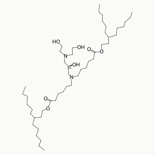 CCCCCCC(CCCCCC)CCOC(=O)CCCCCN(CCCCCC(=O)OCCC(CCCCCC)CCCCCC)C[C@H](O)CN(CCO)CCO